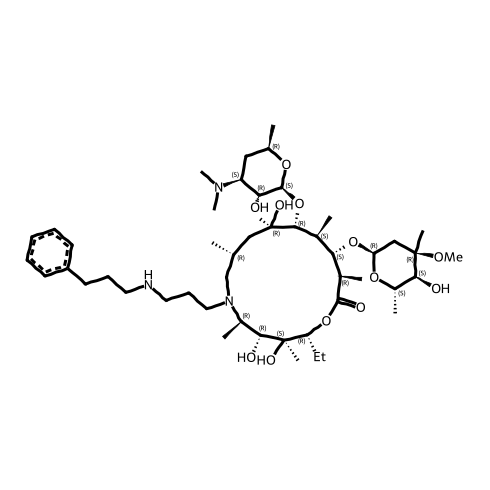 CC[C@H]1OC(=O)[C@H](C)[C@@H](O[C@H]2C[C@@](C)(OC)[C@@H](O)[C@H](C)O2)[C@H](C)[C@@H](O[C@@H]2O[C@H](C)C[C@H](N(C)C)[C@H]2O)[C@](C)(O)C[C@@H](C)CN(CCCNCCCc2ccccc2)[C@H](C)[C@@H](O)[C@]1(C)O